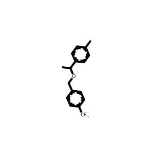 Cc1ccc(C(C)OCc2ccc(C(F)(F)F)cc2)cc1